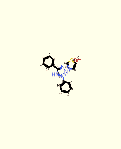 [Br-].c1ccc(-c2nn[n+](-c3ccccc3)[nH]2)cc1.c1cscn1